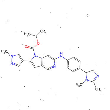 CC1=NCC(c2ccc(Nc3cc4c(cn3)cc(-c3cnn(C)c3)n4C(=O)OC(C)C)cc2)N1C